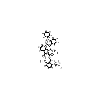 CCn1c2c(C(=O)OC(c3ccccc3)c3ccccc3)cccc2c(=O)n1C(=O)NCc1c(C)cccc1C(C)C